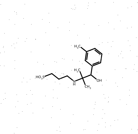 Cc1cccc(C(O)C(C)(C)NCCCS(=O)(=O)O)c1